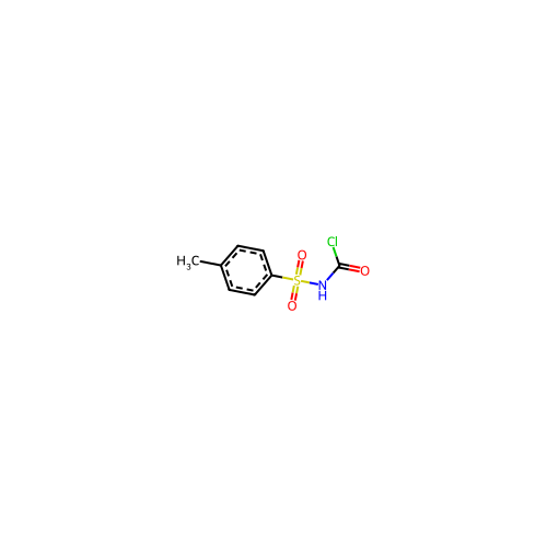 Cc1ccc(S(=O)(=O)NC(=O)Cl)cc1